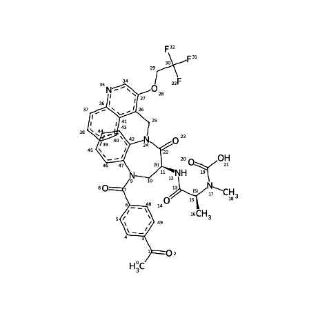 CC(=O)c1ccc(C(=O)N2C[C@H](NC(=O)[C@H](C)N(C)C(=O)O)C(=O)N(Cc3c(OCC(F)(F)F)cnc4ccccc34)c3ccccc32)cc1